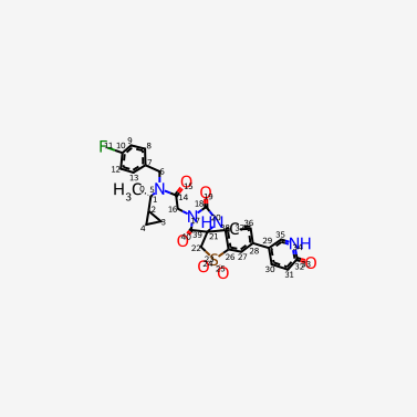 C[C@@H](C1CC1)N(Cc1ccc(F)cc1)C(=O)CN1C(=O)NC2(CS(=O)(=O)c3cc(-c4ccc(=O)[nH]c4)ccc32)C1=O